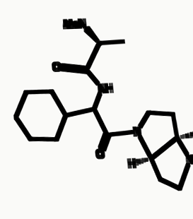 CN[C@@H](C)C(=O)NC(C(=O)N1CC[C@H]2NCC[C@H]21)C1CCCCC1